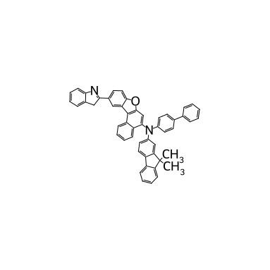 CC1(C)c2ccccc2-c2ccc(N(c3ccc(-c4ccccc4)cc3)c3cc4oc5ccc(C6=Nc7ccccc7C6)cc5c4c4ccccc34)cc21